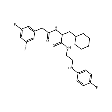 O=C(Cc1cc(F)cc(F)c1)NC(CC1CCCCC1)C(=O)NCCNc1ccc(F)cc1